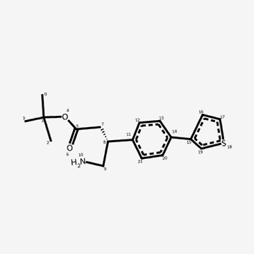 CC(C)(C)OC(=O)C[C@@H](CN)c1ccc(-c2ccsc2)cc1